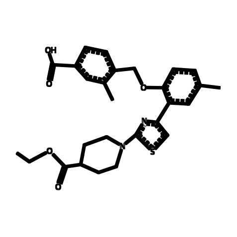 CCOC(=O)C1CCN(c2nc(-c3cc(C)ccc3OCc3ccc(C(=O)O)cc3C)cs2)CC1